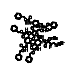 CCCCO[C@H](C(=O)N[C@@H]1C[C@H](NC(=O)OCc2ccccc2)[C@@H](O[C@H]2O[C@H](CNC(=O)OCc3ccccc3)C=C[C@H]2NC(=O)OCc2ccccc2)[C@H](O[C@@H]2O[C@H](CO)[C@@H](O[C@H]3O[C@@H](CNC(=O)OCc4ccccc4)C=C[C@H]3NC(=O)OCc3ccccc3)[C@H]2O)[C@H]1O)[C@H](F)CN=[N+]=[N-]